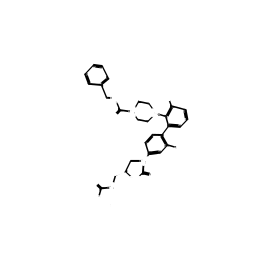 CC(=O)NC[C@H]1CN(c2ccc(-c3cccc(F)c3N3CCN(C(=O)OCc4ccccc4)CC3)c(F)c2)C(=O)O1